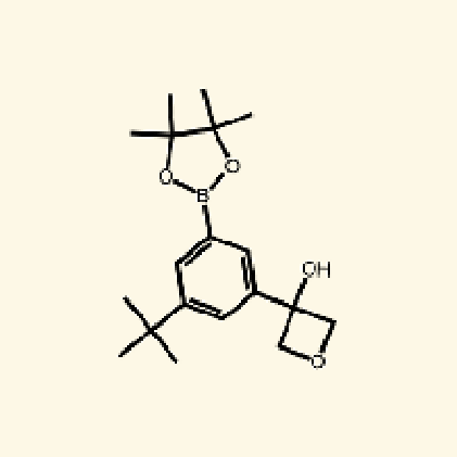 CC(C)(C)c1cc(B2OC(C)(C)C(C)(C)O2)cc(C2(O)COC2)c1